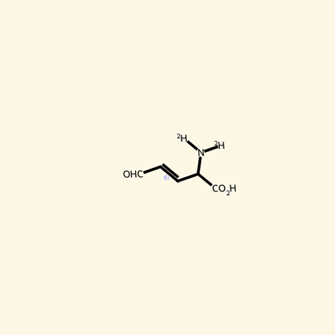 [2H]N([2H])C(/C=C/C=O)C(=O)O